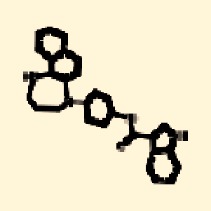 O=C(Nc1ccc(N2C=CCNc3c2ccc2ccccc32)cc1)c1c[nH]c2ccccc12